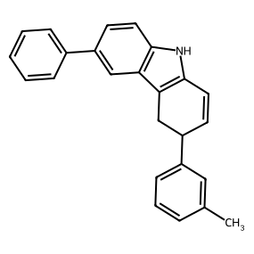 Cc1cccc(C2C=Cc3[nH]c4ccc(-c5ccccc5)cc4c3C2)c1